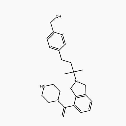 C=C(c1cccc2c1CN(C(C)(C)CCc1ccc(CO)cc1)C2)N1CCNCC1